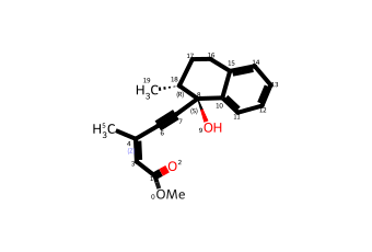 COC(=O)/C=C(/C)C#C[C@@]1(O)c2ccccc2CC[C@H]1C